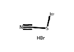 Br.N#C[S][In]